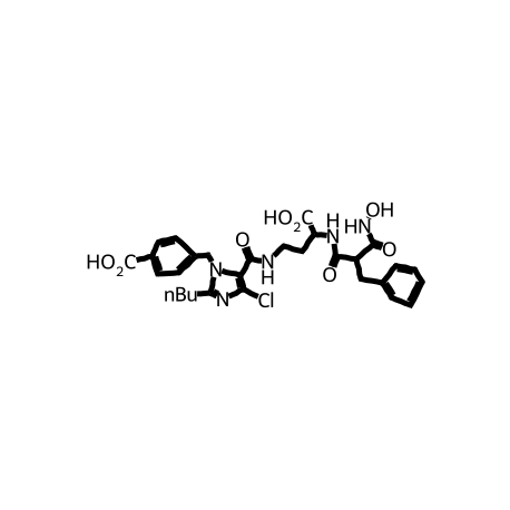 CCCCc1nc(Cl)c(C(=O)NCCC(NC(=O)C(Cc2ccccc2)C(=O)NO)C(=O)O)n1Cc1ccc(C(=O)O)cc1